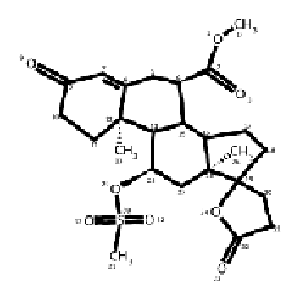 COC(=O)[C@@H]1CC2=CC(=O)CC[C@]2(C)C2C1C1CCC3(CCC(=O)O3)[C@@]1(C)C[C@H]2OS(C)(=O)=O